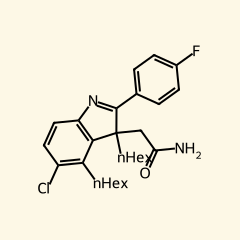 CCCCCCc1c(Cl)ccc2c1C(CCCCCC)(CC(N)=O)C(c1ccc(F)cc1)=N2